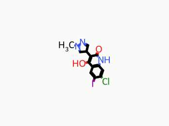 CN1CC(c2c(O)c3cc(I)c(Cl)cc3[nH]c2=O)C=N1